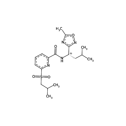 Cc1nc([C@H](CC(C)C)NC(=O)c2cccc(S(=O)(=O)CC(C)C)n2)no1